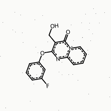 O=c1c(CO)c(Oc2cccc(F)c2)nc2ccccn12